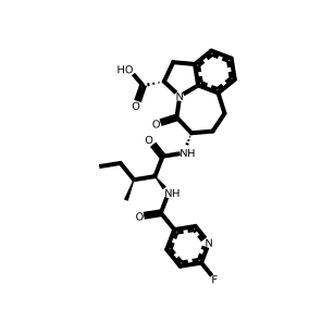 CC[C@H](C)[C@H](NC(=O)c1ccc(F)nc1)C(=O)N[C@H]1CCc2cccc3c2N(C1=O)[C@H](C(=O)O)C3